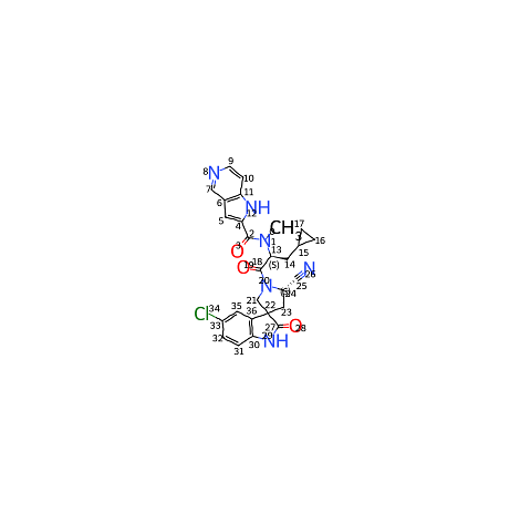 CN(C(=O)c1cc2cnccc2[nH]1)[C@@H](CC1CC1)C(=O)N1CC2(C[C@H]1C#N)C(=O)Nc1ccc(Cl)cc12